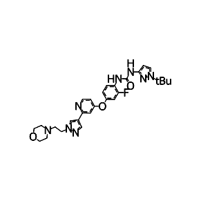 CC(C)(C)n1ccc(NC(=O)Nc2ccc(Oc3ccnc(-c4cnn(CCN5CCOCC5)c4)c3)cc2F)n1